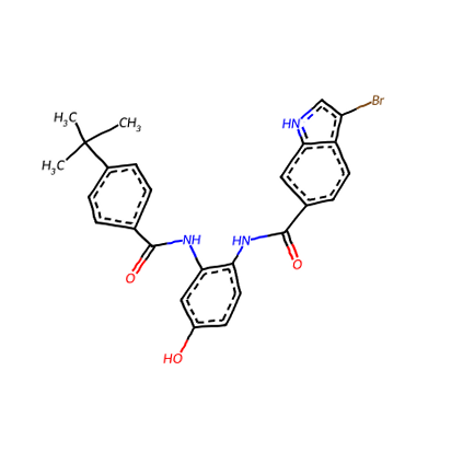 CC(C)(C)c1ccc(C(=O)Nc2cc(O)ccc2NC(=O)c2ccc3c(Br)c[nH]c3c2)cc1